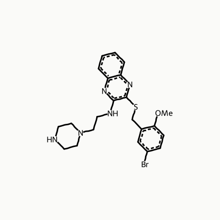 COc1ccc(Br)cc1CSc1nc2ccccc2nc1NCCN1CCNCC1